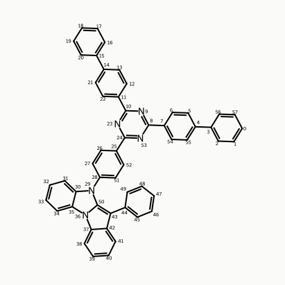 c1ccc(-c2ccc(-c3nc(-c4ccc(-c5ccccc5)cc4)nc(-c4ccc(-n5c6ccccc6n6c7ccccc7c(-c7ccccc7)c56)cc4)n3)cc2)cc1